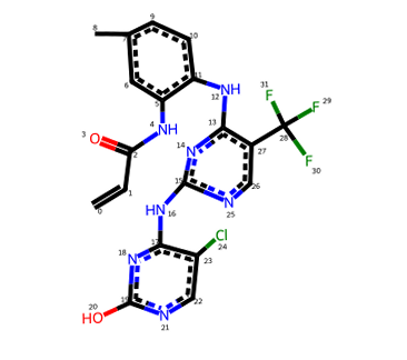 C=CC(=O)Nc1cc(C)ccc1Nc1nc(Nc2nc(O)ncc2Cl)ncc1C(F)(F)F